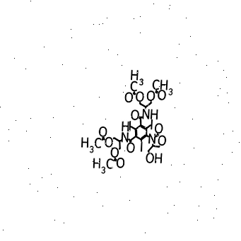 CC(=O)OCC(COC(C)=O)NC(=O)c1c(I)c(C(=O)NC(COC(C)=O)COC(C)=O)c(I)c(N2C(=O)OCC2CO)c1I